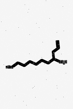 C=CCC(CCCCCCCCCCCCCC)C(=O)O